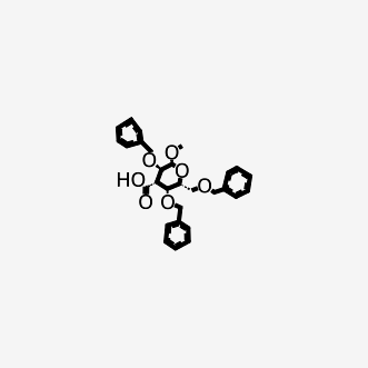 CO[C@H]1O[C@H](COCc2ccccc2)[C@H](OCc2ccccc2)[C@H](C(=O)O)[C@H]1OCc1ccccc1